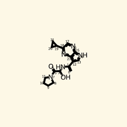 C=C(NC(O)C(=O)N1CCCC1)c1c[nH]c2ncc(C3CC3)nc12